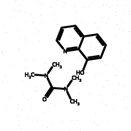 CN(C)C(=O)N(C)C.Oc1cccc2cccnc12